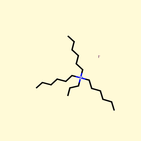 CCCCCC[N+](CCC)(CCCCCC)CCCCCC.[I-]